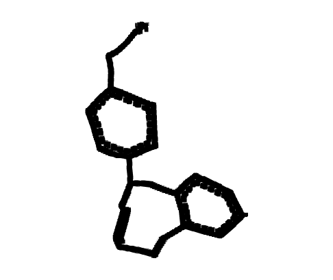 CC(C)Cc1ccc(C2C=CCc3c[c]ccc32)cc1